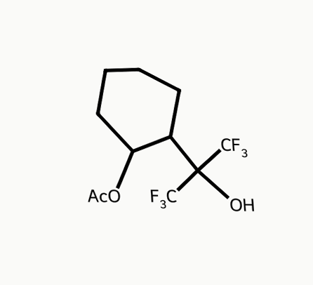 CC(=O)OC1CCCCC1C(O)(C(F)(F)F)C(F)(F)F